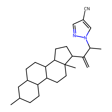 C=C(C(C)n1cc(C#N)cn1)C1CCC2C3CCC4CC(C)CCC4C3CCC12C